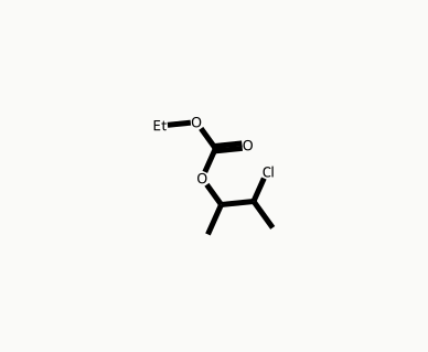 CCOC(=O)OC(C)C(C)Cl